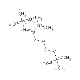 CN(C)/C(CCCCC(C)(C)C)=N\S(C)(=O)=O